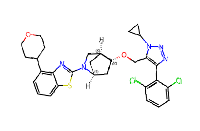 Clc1cccc(Cl)c1-c1nnn(C2CC2)c1CO[C@@H]1C[C@@H]2C[C@H]1CN2c1nc2c(C3CCOCC3)cccc2s1